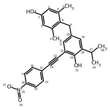 Cc1cc(O)cc(C)c1Cc1cc(C#Cc2ccc([N+](=O)[O-])cc2)c(O)c(C(C)C)c1